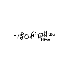 CNc1nc(C2CCCN(Sc3ccc(S(C)(=O)=O)cc3)C2)ccc1NCC(C)(C)C